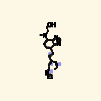 C\C=C/C(/C=C/c1ccc(N(C)CCO)c2nonc12)=C\C=N\CC